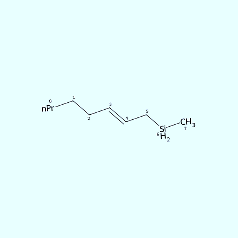 CCCCCC=CC[SiH2]C